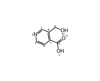 O=C(O)c1ccncc1CO